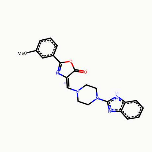 COc1cccc(C2=N/C(=C/N3CCN(c4nc5ccccc5[nH]4)CC3)C(=O)O2)c1